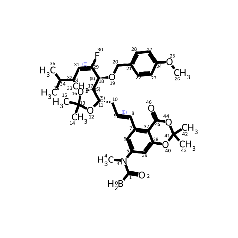 BC(=O)N(C)c1cc(/C=C/C[C@@H]2OC(C)(C)O[C@@H]2[C@H](OCc2ccc(OC)cc2)/C(F)=C\[C@@H](C)C(C)C)c2c(c1)OC(C)(C)OC2=O